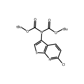 CC(C)(C)OC(=O)N(C(=O)OC(C)(C)C)c1csc2nc(Cl)ccc12